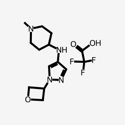 CN1CCC(Nc2cnn(C3COC3)c2)CC1.O=C(O)C(F)(F)F